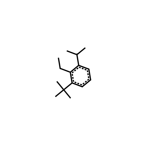 CCc1c([C](C)C)cccc1C(C)(C)C